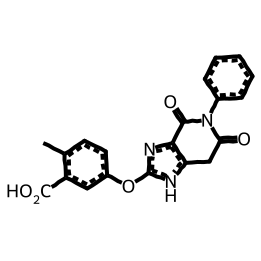 Cc1ccc(Oc2nc3c([nH]2)CC(=O)N(c2ccccc2)C3=O)cc1C(=O)O